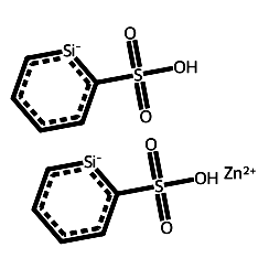 O=S(=O)(O)c1cccc[si-]1.O=S(=O)(O)c1cccc[si-]1.[Zn+2]